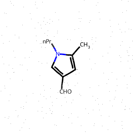 CCCn1cc(C=O)[c]c1C